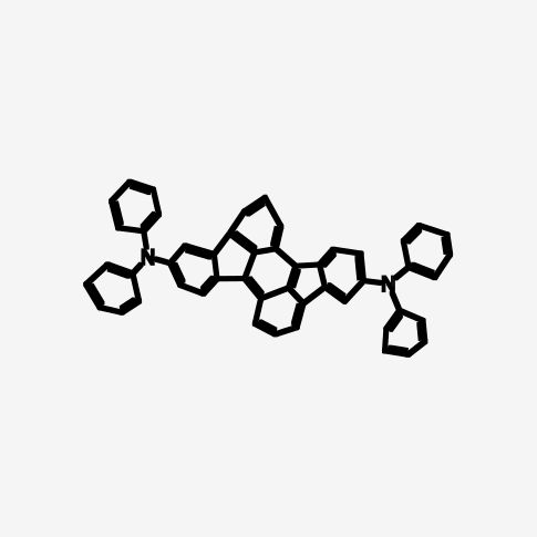 c1ccc(N(c2ccccc2)c2ccc3c(c2)c2cccc4c2c3c2cccc3c5cc(N(c6ccccc6)c6ccccc6)ccc5c4c32)cc1